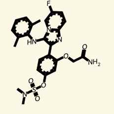 Cc1cccc(C)c1Nc1c(-c2ccc(OS(=O)(=O)N(C)C)cc2OCC(N)=O)nc2ccc(F)cn12